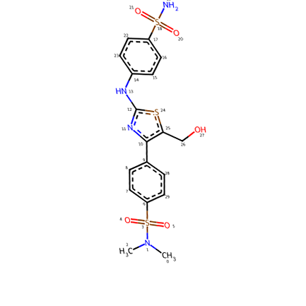 CN(C)S(=O)(=O)c1ccc(-c2nc(Nc3ccc(S(N)(=O)=O)cc3)sc2CO)cc1